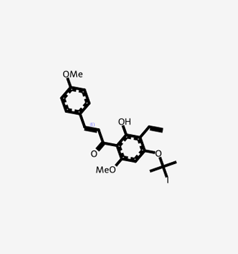 C=Cc1c(OC(C)(C)I)cc(OC)c(C(=O)/C=C/c2ccc(OC)cc2)c1O